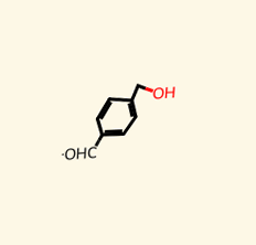 O=[C]c1ccc(CO)cc1